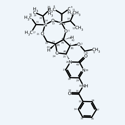 CCO[C@@H]1[C@@H]2O[Si](C(C)C)(C(C)C)O[Si](C(C)C)(C(C)C)OC[C@H]2O[C@H]1n1ccc(NC(=O)c2ccccc2)nc1=O